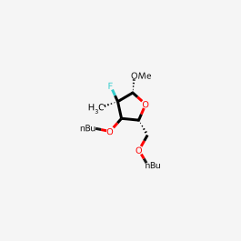 CCCCOC[C@H]1O[C@@H](OC)[C@](C)(F)C1OCCCC